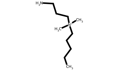 CCCCC[N+](C)(C)CCCN